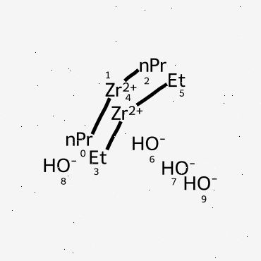 CC[CH2][Zr+2][CH2]CC.C[CH2][Zr+2][CH2]C.[OH-].[OH-].[OH-].[OH-]